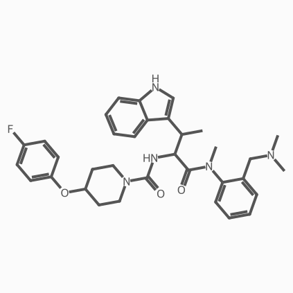 CC(c1c[nH]c2ccccc12)C(NC(=O)N1CCC(Oc2ccc(F)cc2)CC1)C(=O)N(C)c1ccccc1CN(C)C